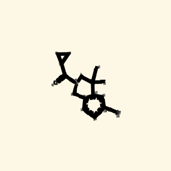 CC1(C)CN(C(=O)C2CC2)Cc2ccc(Br)cc21